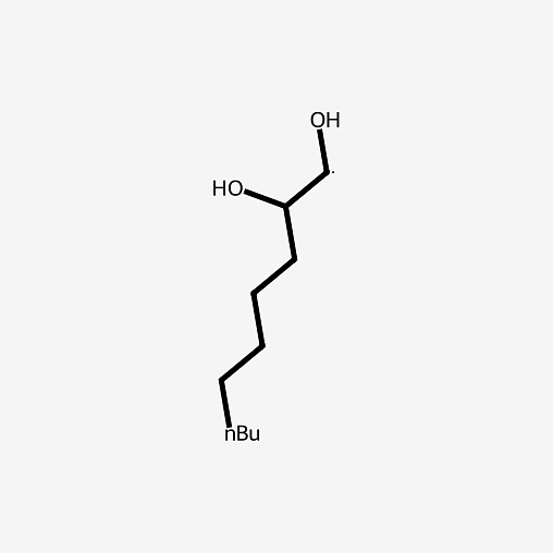 [CH2]CCCCCCCC(O)[CH]O